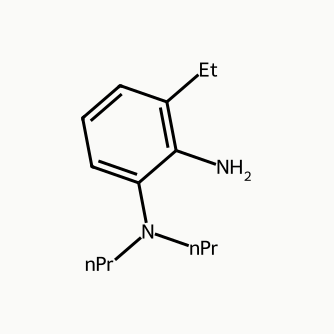 CCCN(CCC)c1cccc(CC)c1N